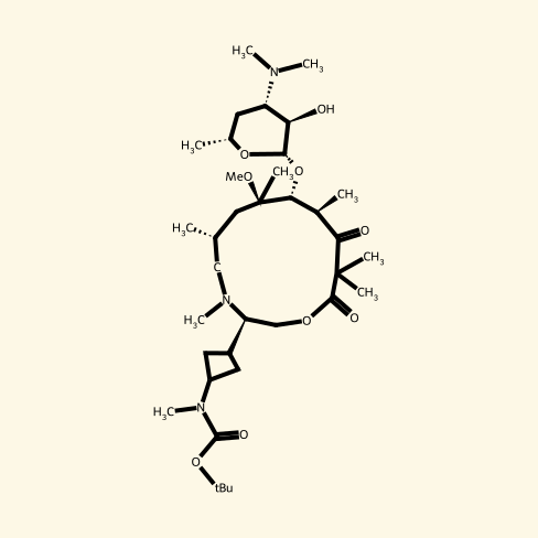 CO[C@]1(C)C[C@@H](C)CN(C)[C@H](C2CC(N(C)C(=O)OC(C)(C)C)C2)COC(=O)C(C)(C)C(=O)[C@H](C)[C@H]1O[C@@H]1O[C@H](C)C[C@H](N(C)C)[C@H]1O